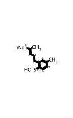 CCCCCCCCC/C(C)=C/CCc1cc(C)ccc1S(=O)(=O)O